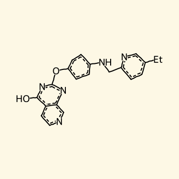 CCc1ccc(CNc2ccc(Oc3nc(O)c4ccncc4n3)cc2)nc1